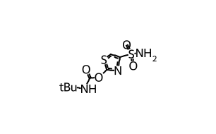 CC(C)(C)NC(=O)Oc1nc(S(N)(=O)=O)cs1